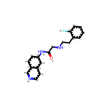 O=C(CNCCc1ccccc1F)Nc1ccc2cnccc2c1